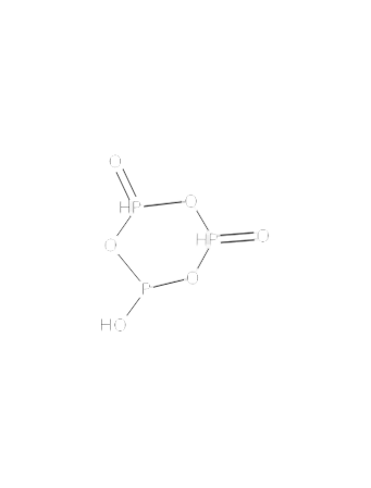 O=[PH]1OP(O)O[PH](=O)O1